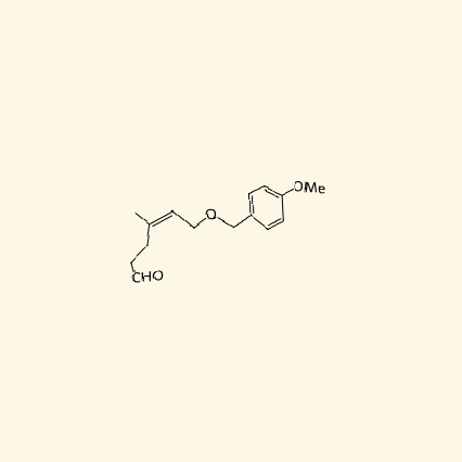 COc1ccc(COCC=C(C)CCC=O)cc1